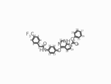 O=C(Cc1ccc(C(F)(F)F)cc1)Nc1ccc(OC2=C3C=CN(C(=O)Oc4ccccc4)C3NC=N2)cc1